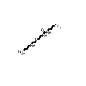 CCCCNCCOCCNC(=O)NCCCC